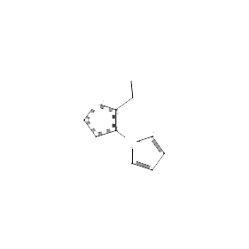 [CH2]Cc1sccc1[SH]1C=CC=C1